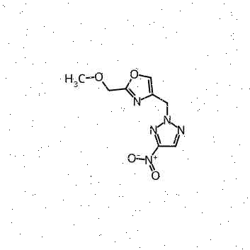 COCc1nc(Cn2ncc([N+](=O)[O-])n2)co1